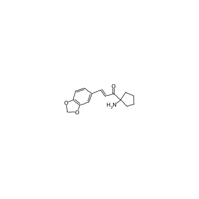 NC1(C(=O)C=Cc2ccc3c(c2)OCO3)CCCC1